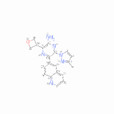 Cc1ccn(-c2nc(N)c(C3COC3)nc2-c2ccc3ncccc3c2)n1